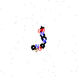 CC(C)(C)OC(=O)N1CCC2(CCN(Cc3ccc(Oc4nc5ccccc5s4)cc3)CC2)CC1